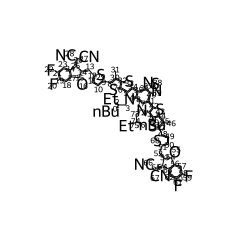 CCCCC(CC)Cn1c2c3sc(-c4ccc(/C=C5\C(=O)c6cc(F)c(F)cc6C5=C(C#N)C#N)s4)c(C)c3sc2c2c3nsnc3c3c4sc5c(C)c(-c6ccc(/C=C7\C(=O)c8cc(F)c(F)cc8C7=C(C#N)C#N)s6)sc5c4n(CC(CC)CCCC)c3c21